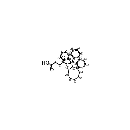 O=C(O)CCC(=O)OP(c1ccccc1)(c1ccccc1)(c1ccccc1)C1CCCCCCC1